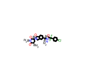 BC1C[C@@](B)(N2Cc3cc(C(B)(B)NC(=O)C(F)(F)c4ccc(Cl)cc4)ccc3C2=O)C(=O)N(B)C1=O